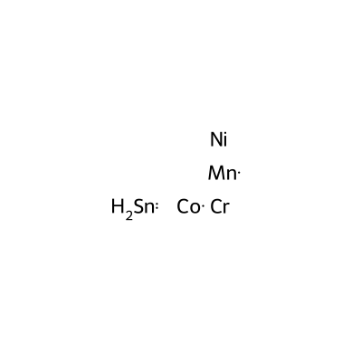 [Co].[Cr].[Mn].[Ni].[SnH2]